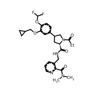 CCC(=O)N1CC(c2ccc(OC(F)F)c(OCC3CC3)c2)C[C@@H]1C(=O)NCc1cccnc1C(=O)N(C)C